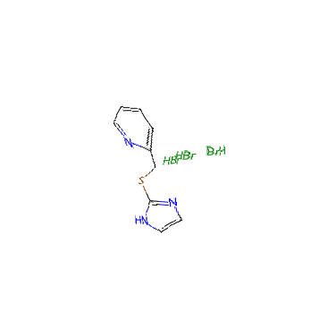 Br.Br.Br.c1ccc(CSc2ncc[nH]2)nc1